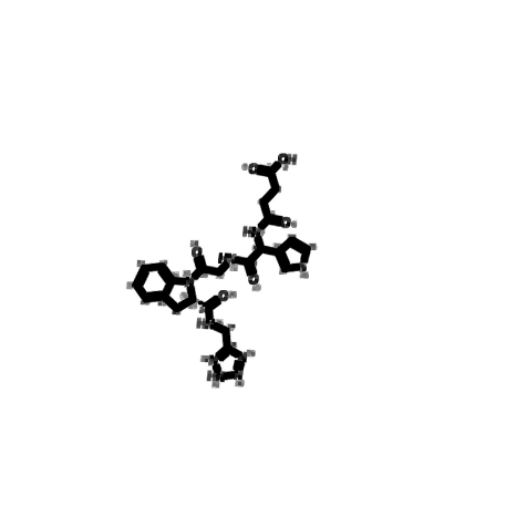 O=C(O)CCC(=O)NC(C(=O)NCC(=O)N1c2ccccc2C[C@H]1C(=O)NCc1nn[nH]n1)c1ccsc1